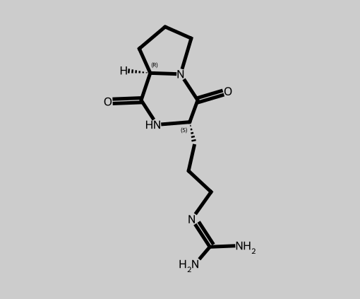 NC(N)=NCCC[C@@H]1NC(=O)[C@H]2CCCN2C1=O